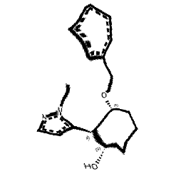 Cn1nccc1[C@@H]1[C@@H](O)CCC[C@H]1OCc1ccccc1